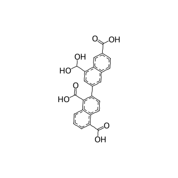 O=C(O)c1ccc2cc(-c3ccc4c(C(=O)O)cccc4c3C(=O)O)cc(C(O)O)c2c1